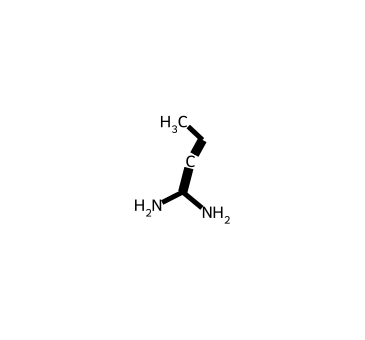 CC=C=C(N)N